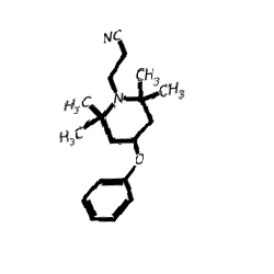 CC1(C)CC(Oc2ccccc2)CC(C)(C)N1CCC#N